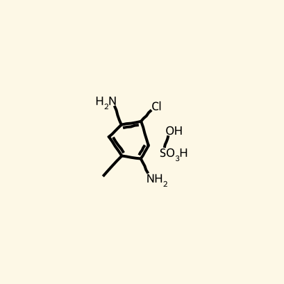 Cc1cc(N)c(Cl)cc1N.O=S(=O)(O)O